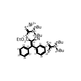 CCCCN(CCCC)C(=S)[S-].CCCCN(CCCC)C(=S)[S-].CCOC(=O)C(C#N)=C(c1ccccc1)c1ccccc1.[Ni+2]